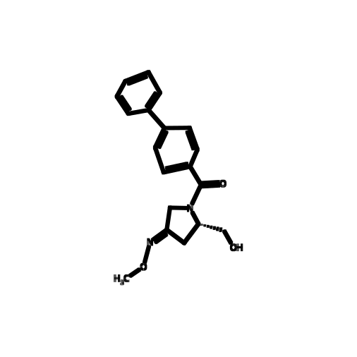 CO/N=C1\C[C@@H](CO)N(C(=O)c2ccc(-c3ccccc3)cc2)C1